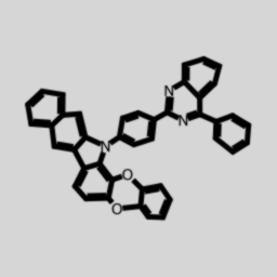 c1ccc(-c2nc(-c3ccc(-n4c5cc6ccccc6cc5c5ccc6c(c54)Oc4ccccc4O6)cc3)nc3ccccc23)cc1